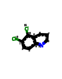 Clc1ccc2ncccc2c1Cl